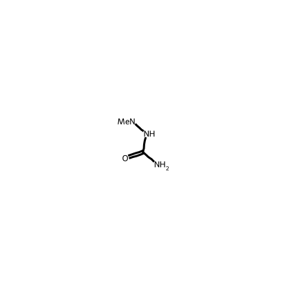 [CH2]NNC(N)=O